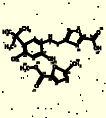 CC(C)(C)c1cc(NCc2coc(C(=O)O)n2)c(O)cc1Cl.COC(=O)c1cnc(C)o1